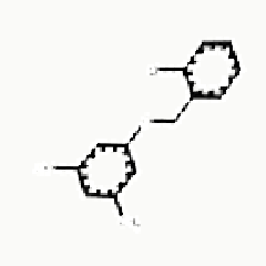 Cc1cc(O)cc(OCc2ccccc2Cl)c1